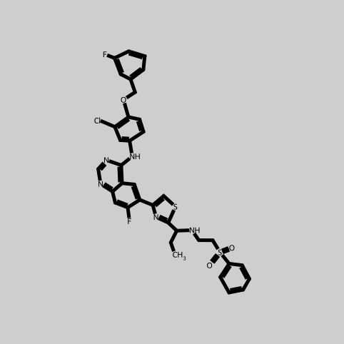 CCC(NCCS(=O)(=O)c1ccccc1)c1nc(-c2cc3c(Nc4ccc(OCc5cccc(F)c5)c(Cl)c4)ncnc3cc2F)cs1